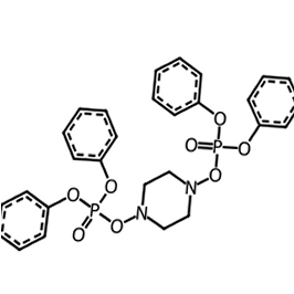 O=P(Oc1ccccc1)(Oc1ccccc1)ON1CCN(OP(=O)(Oc2ccccc2)Oc2ccccc2)CC1